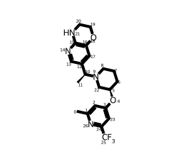 Cc1cc(O[C@@H]2CCCN([C@@H](C)c3cnc4c(c3)OCCN4)C2)cc(C(F)(F)F)n1